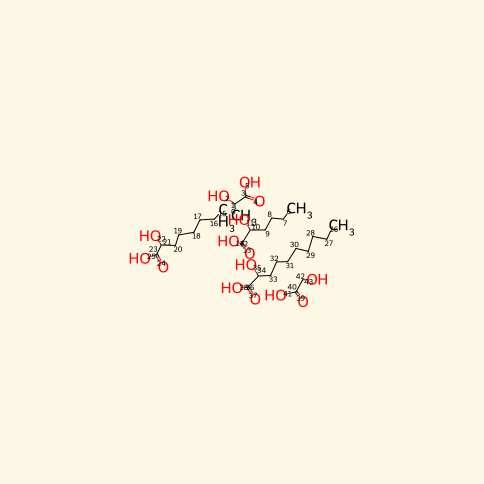 CC(O)C(=O)O.CCCCC(O)C(=O)O.CCCCCCC(O)C(=O)O.CCCCCCCCC(O)C(=O)O.O=C(O)CO